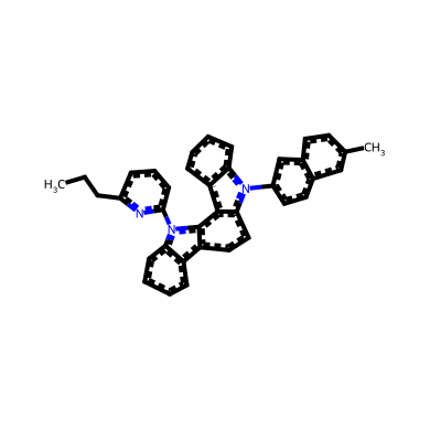 CCCc1cccc(-n2c3ccccc3c3ccc4c(c5ccccc5n4-c4ccc5cc(C)ccc5c4)c32)n1